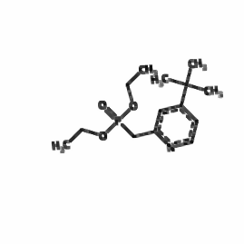 CCOP(=O)(Cc1cc(C(C)(C)C)ccn1)OCC